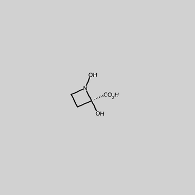 O=C(O)[C@]1(O)CCN1O